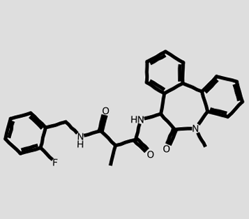 CC(C(=O)NCc1ccccc1F)C(=O)NC1C(=O)N(C)c2ccccc2-c2ccccc21